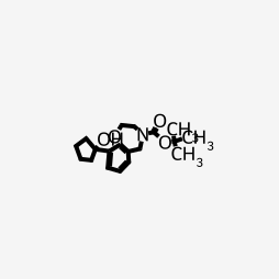 CC(C)(C)OC(=O)N1CCOc2c(cccc2C2(O)CCCC2)C1